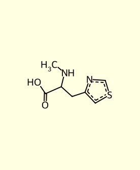 CNC(Cc1cscn1)C(=O)O